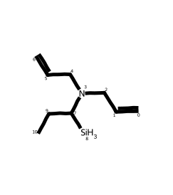 C=CCN(CC=C)C([SiH3])CC